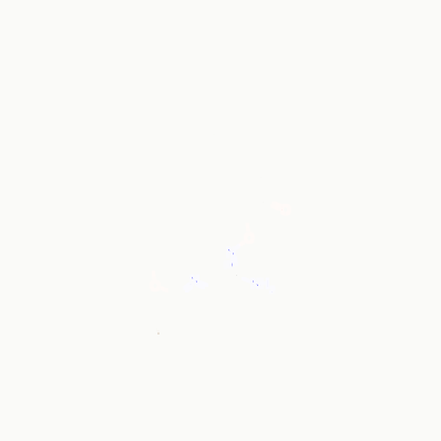 COc1nc(/C(N)=N/OCC(=O)c2ccc(Cl)c(Cl)c2)ccc1Br